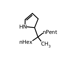 CCCCCCC(C)(CCCCC)C1CC=CN1